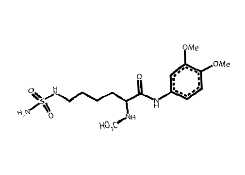 COc1ccc(NC(=O)C(CCCCNS(N)(=O)=O)NC(=O)O)cc1OC